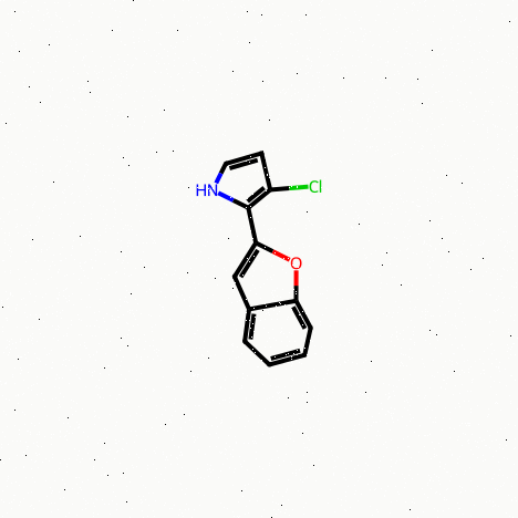 Clc1cc[nH]c1-c1cc2ccccc2o1